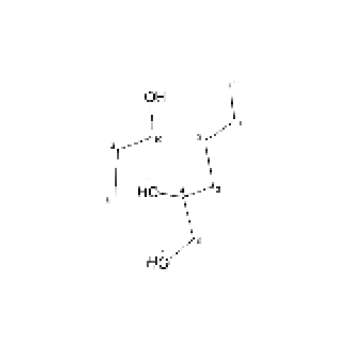 CCCCC(O)CO.CCCO